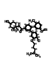 CCOc1ccc(C)c(-c2ccc(C(=O)NC3(C(=O)O)CCC(O)CC3)nc2-c2ccc(Cl)c(OCCCN(C)C)c2)c1